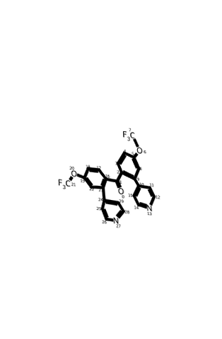 O=C(c1ccc(OC(F)(F)F)cc1-c1ccncc1)c1ccc(OC(F)(F)F)cc1-c1ccncc1